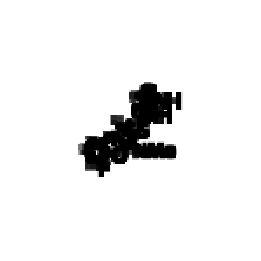 CNC1=C(SCNC(=N)S(C)(=O)=O)C(C)(C)N(Cc2cccc(F)c2)C1=O